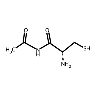 CC(=O)NC(=O)[C@@H](N)CS